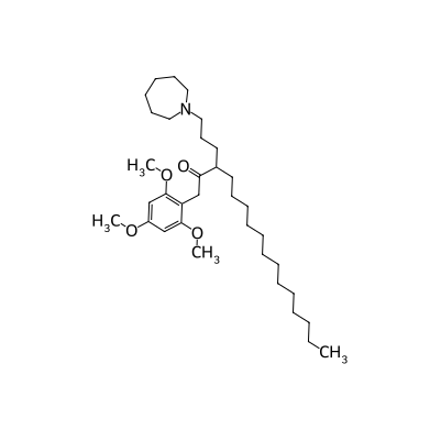 CCCCCCCCCCCCCC(CCCN1CCCCCC1)C(=O)Cc1c(OC)cc(OC)cc1OC